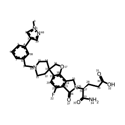 Cn1cc(-c2cccc(CN3CCC4(CC3)COc3c4cc(F)c4c3CN([C@@H](CCC(=O)O)C(N)=O)C4=O)c2)cn1